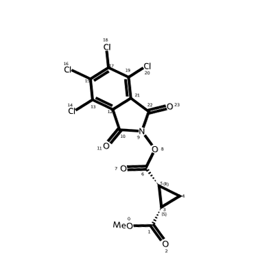 COC(=O)[C@H]1C[C@H]1C(=O)ON1C(=O)c2c(Cl)c(Cl)c(Cl)c(Cl)c2C1=O